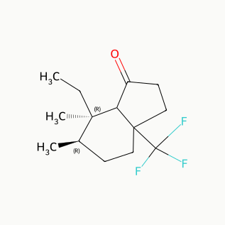 CC[C@@]1(C)C2C(=O)CCC2(C(F)(F)F)CC[C@H]1C